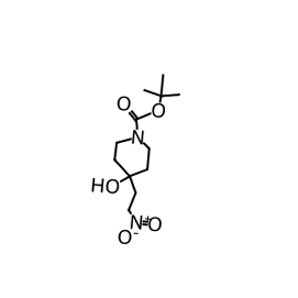 CC(C)(C)OC(=O)N1CCC(O)(CC[N+](=O)[O-])CC1